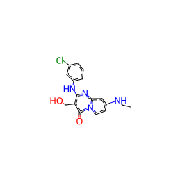 CCNc1ccn2c(=O)c(CO)c(Nc3cccc(Cl)c3)nc2c1